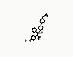 Nc1ccc2c(c1)NC(=O)/C2=C(\NC1CCN(C2CCN(CC3CC3)CC2)CC1)c1ccccc1